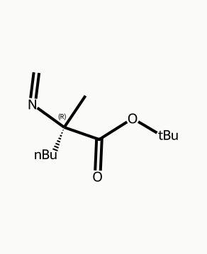 C=N[C@](C)(CCCC)C(=O)OC(C)(C)C